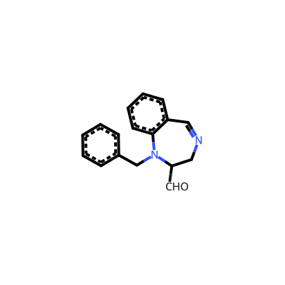 O=CC1CN=Cc2ccccc2N1Cc1ccccc1